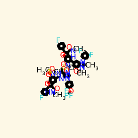 CNC(=O)c1c(-c2ccc(F)cc2)oc2cc(N(C)S(C)(=O)=O)c(-c3nc(CS(=O)(=O)N(C)c4cc5oc(-c6ccc(F)cc6)c(C(=O)NC)c5cc4-c4cc(OC)c5nc(C)n(-c6cc(F)cc(F)c6)c5c4)c4ncn(-c5ccc(OC(F)(F)F)cc5)c4n3)cc12